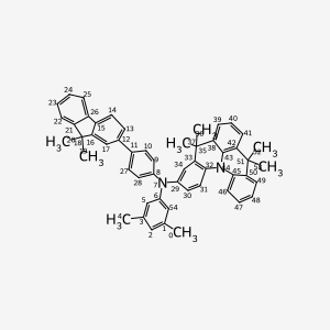 Cc1cc(C)cc(N(c2ccc(-c3ccc4c(c3)C(C)(C)c3ccccc3-4)cc2)c2ccc3c(c2)C(C)(C)c2cccc4c2N3c2ccccc2C4(C)C)c1